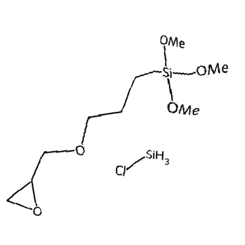 CO[Si](CCCOCC1CO1)(OC)OC.[SiH3]Cl